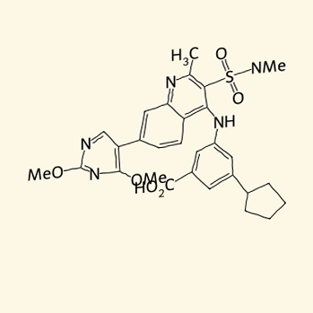 CNS(=O)(=O)c1c(C)nc2cc(-c3cnc(OC)nc3OC)ccc2c1Nc1cc(C(=O)O)cc(C2CCCC2)c1